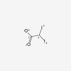 [O]C(=O)C(I)I